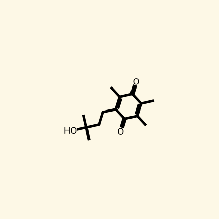 CC1=C(C)C(=O)C(CCC(C)(C)O)=C(C)C1=O